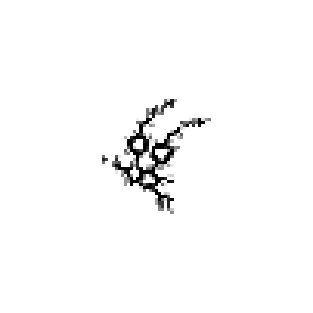 CCc1nc2cc(C(N)=O)c(Cl)c(-c3ccc(CCN=[N+]=[N-])cc3)c2n1-c1ccc(CCN=[N+]=[N-])cc1